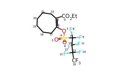 CCOC(=O)C1=C(OS(=O)(=O)C(F)(F)C(F)(F)C(F)(F)C(F)(F)F)CCCCCC1